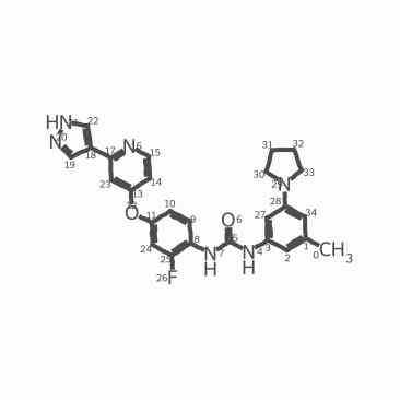 Cc1cc(NC(=O)Nc2ccc(Oc3ccnc(-c4cn[nH]c4)c3)cc2F)cc(N2CCCC2)c1